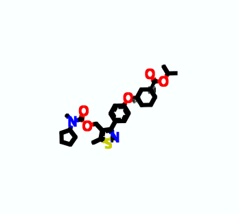 Cc1snc(-c2ccc(O[C@H]3CCC[C@H](C(=O)OC(C)C)C3)cc2)c1COC(=O)N(C)C1CCCC1